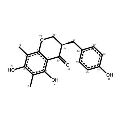 Cc1c(O)c(C)c2c(c1O)C(=O)[C@H](Cc1ccc(O)cc1)CO2